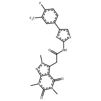 Cn1nc2c(c1CC(=O)Nc1nc(-c3ccc(F)c(C(F)(F)F)c3)cs1)c(=O)n(C)c(=O)n2C